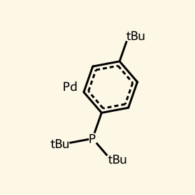 CC(C)(C)c1ccc(P(C(C)(C)C)C(C)(C)C)cc1.[Pd]